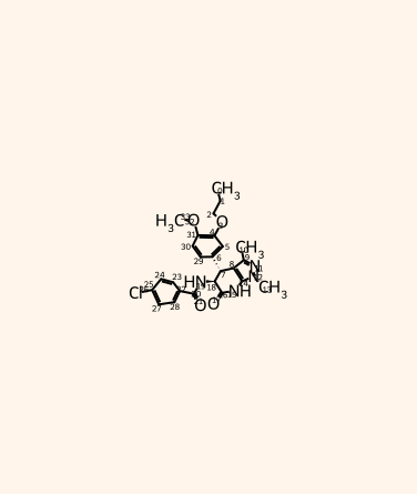 CCCOc1cc([C@@H]2c3c(C)nn(C)c3NC(=O)[C@H]2NC(=O)c2ccc(Cl)cc2)ccc1OC